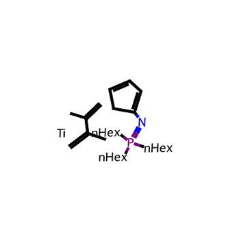 C=C(C)C(=C)C.CCCCCCP(CCCCCC)(CCCCCC)=NC1=CC=CC1.[Ti]